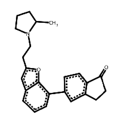 CC1CCCN1CCc1cc2cccc(-c3ccc4c(c3)CCC4=O)c2o1